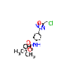 CC(C)(C)OC(=O)Nc1ccc(-c2noc(CCl)n2)cc1